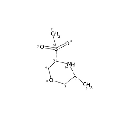 CC1COCC(S(C)(=O)=O)N1